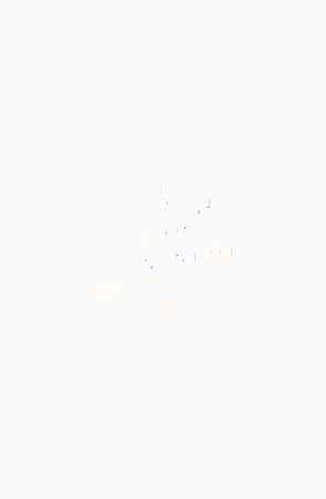 N[C@H](C(=O)N(CCO)CCO)[C@@]12C[C@@H]3C[C@@H](C[C@](O)(C3)C1)C2